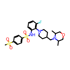 CC1COCC(C)N1CC1CCN(c2c(F)cccc2NS(=O)(=O)c2ccc(S(C)(=O)=O)cc2)CC1